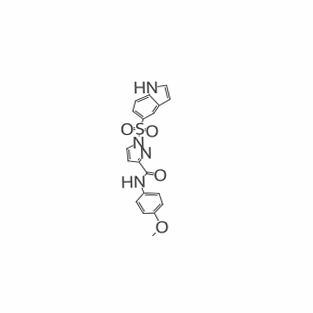 COc1ccc(NC(=O)c2ccn(S(=O)(=O)c3ccc4[nH]ccc4c3)n2)cc1